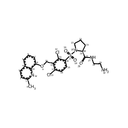 Cc1ccc2cccc(OCc3c(Cl)ccc(S(=O)(=O)N4CCC[C@H]4C(=O)NCCN)c3Cl)c2n1